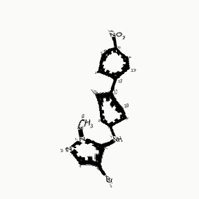 Cn1ncc(Br)c1Nc1ccc(-c2ccc([N+](=O)[O-])cc2)cc1